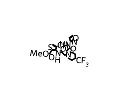 COC(=O)c1scc(C)c1NC(=O)C[N+]1(CC(=O)Nc2ccon2)CCC(C(F)(F)F)CC1